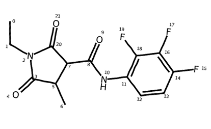 CCN1C(=O)C(C)C(C(=O)Nc2ccc(F)c(F)c2F)C1=O